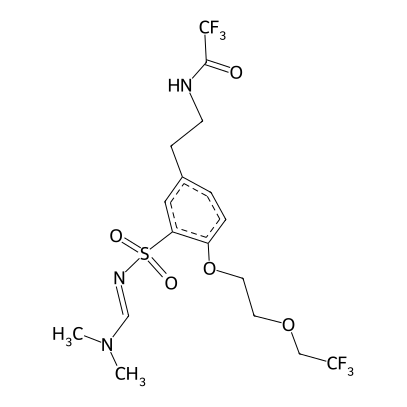 CN(C)C=NS(=O)(=O)c1cc(CCNC(=O)C(F)(F)F)ccc1OCCOCC(F)(F)F